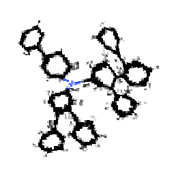 C1=CCCC(C2=CC=C(N(C3=CC(c4ccccc4)C(c4ccccc4C4C=CC=CC4)C=C3)c3ccc(-c4ccccc4)c(-c4ccccc4)c3)CC2)=C1